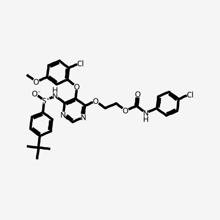 COc1ccc(Cl)c(Oc2c(N[S+]([O-])c3ccc(C(C)(C)C)cc3)ncnc2OCCOC(=O)Nc2ccc(Cl)cc2)c1